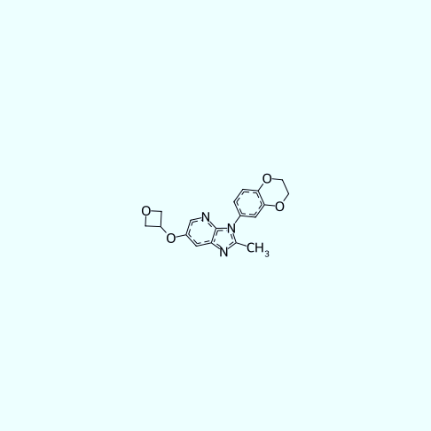 Cc1nc2cc(OC3COC3)cnc2n1-c1ccc2c(c1)OCCO2